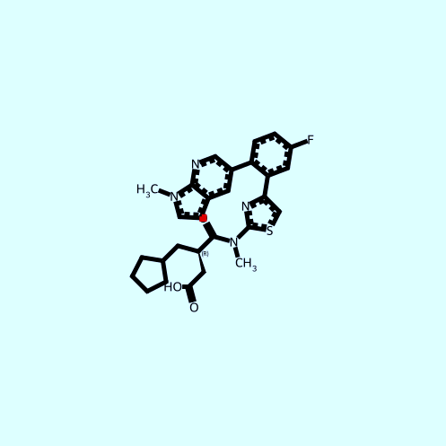 CN(C(=O)[C@@H](CC(=O)O)CC1CCCC1)c1nc(-c2cc(F)ccc2-c2cnc3c(ccn3C)c2)cs1